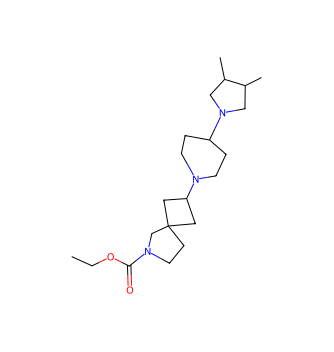 CCOC(=O)N1CCC2(CC(N3CCC(N4CC(C)C(C)C4)CC3)C2)C1